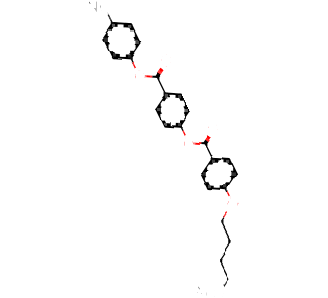 CC(=O)OCCCCOc1ccc(C(=O)Oc2ccc(C(=O)Oc3ccc(C#N)cc3)cc2)cc1